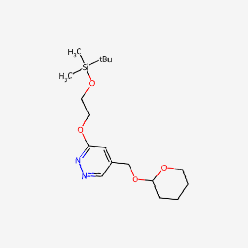 CC(C)(C)[Si](C)(C)OCCOc1cc(COC2CCCCO2)cnn1